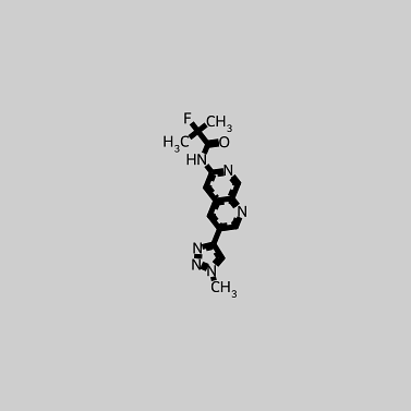 Cn1cc(-c2cnc3cnc(NC(=O)C(C)(C)F)cc3c2)nn1